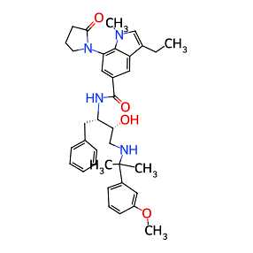 CCc1cn(C)c2c(N3CCCC3=O)cc(C(=O)N[C@@H](Cc3ccccc3)[C@H](O)CNC(C)(C)c3cccc(OC)c3)cc12